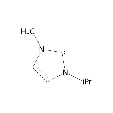 CC(C)N1[C]N(C)C=C1